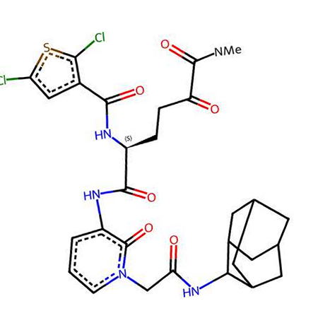 CNC(=O)C(=O)CC[C@H](NC(=O)c1cc(Cl)sc1Cl)C(=O)Nc1cccn(CC(=O)NC2C3CC4CC(C3)CC2C4)c1=O